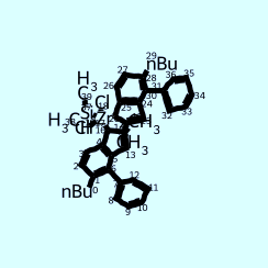 CCCCc1ccc2c(c1-c1ccccc1)C=C(C)[CH]2[Zr]([Cl])([Cl])([CH]1C(C)=Cc2c1ccc(CCCC)c2-c1ccccc1)[SiH](C)C